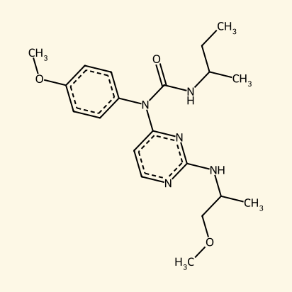 CCC(C)NC(=O)N(c1ccc(OC)cc1)c1ccnc(NC(C)COC)n1